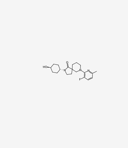 Cc1ccc(F)c(N2CCCC3(CCN([C@H]4CC[C@H](O)CC4)C3=O)C2)n1